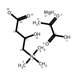 CC(=O)C(=O)O.C[N+](C)(C)CC(O)CC(=O)[O-].[MgH2]